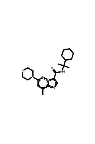 Cc1cc(N2CCOCC2)nn2c(C(=O)NC(C)(C)C3CCCCC3)cnc12